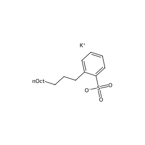 CCCCCCCCCCCc1ccccc1S(=O)(=O)[O-].[K+]